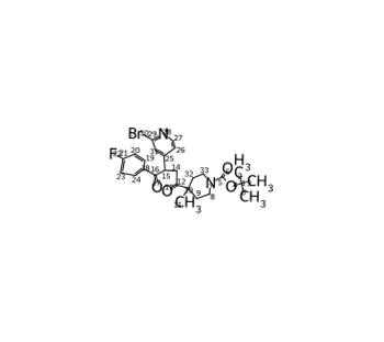 CC(C)(C)OC(=O)N1CCC(C)(C(=O)CC(C(=O)c2ccc(F)cc2)c2ccnc(Br)c2)CC1